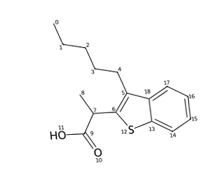 CCCCCc1c(C(C)C(=O)O)sc2ccccc12